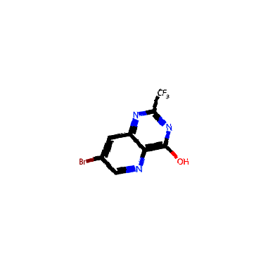 Oc1nc(C(F)(F)F)nc2cc(Br)cnc12